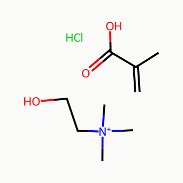 C=C(C)C(=O)O.C[N+](C)(C)CCO.Cl